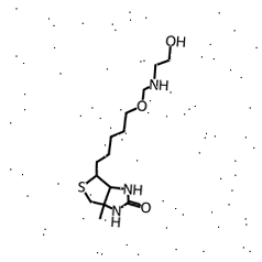 CC12CSC(CCCCCOCNCCO)C1NC(=O)N2